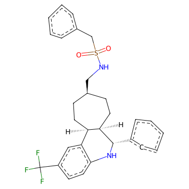 O=S(=O)(Cc1ccccc1)NC[C@H]1CC[C@@H]2[C@H](CC1)c1cc(C(F)(F)F)ccc1N[C@H]2c1ccccc1